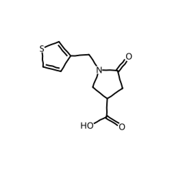 O=C(O)C1CC(=O)N(Cc2ccsc2)C1